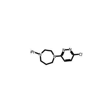 CC(C)N1CCCN(c2ccc(Cl)nn2)CC1